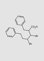 CC(C)C(CCc1ccccc1)C(C(C)C)C(Cc1ccccc1)C(=O)O